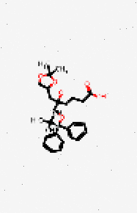 CC1(C)OCC(CC(O)(CCCC(=O)O)CO[Si](c2ccccc2)(c2ccccc2)C(C)(C)C)O1